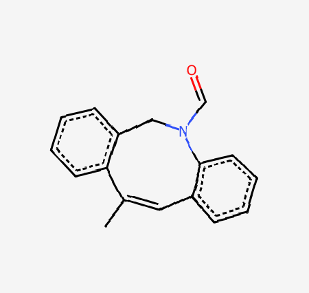 C/C1=C/c2ccccc2N(C=O)Cc2ccccc21